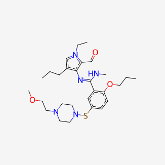 CCCOc1ccc(SN2CCN(CCOC)CC2)cc1/C(=N/c1c(CCC)cn(CC)c1C=O)NC